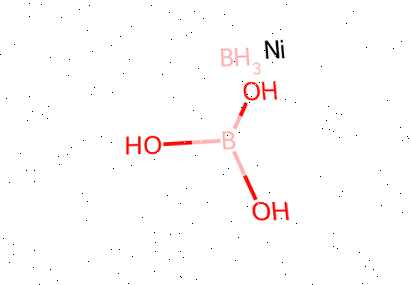 B.OB(O)O.[Ni]